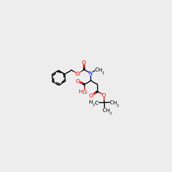 CN(C(=O)OCc1ccccc1)C(CC(=O)OC(C)(C)C)C(=O)O